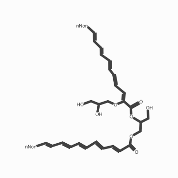 CCCCCCCCCC=CC=CC=CC=CC=CC(=O)OCC(CO)OC(=O)C(=CC=CC=CC=CC=CCCCCCCCCC)OCC(O)CO